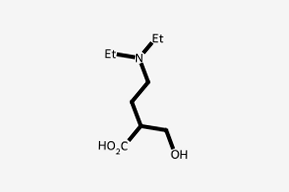 CCN(CC)CCC(CO)C(=O)O